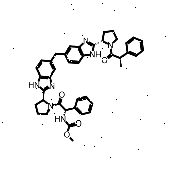 COC(=O)N[C@@H](C(=O)N1CCC[C@H]1c1nc2cc(Cc3ccc4[nH]c([C@@H]5CCCN5C(=O)[C@H](C)c5ccccc5)nc4c3)ccc2[nH]1)c1ccccc1